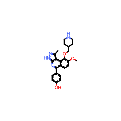 COc1ccc2c(-c3ccc(O)cc3)nc3[nH]nc(C)c3c2c1OCC1CCNCC1